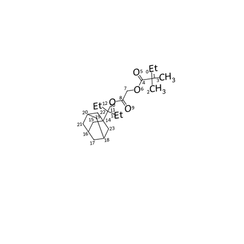 CCC(C)(C)C(=O)OCC(=O)OC(CC)(CC)C12CC3CC(CC(C3)C1)C2